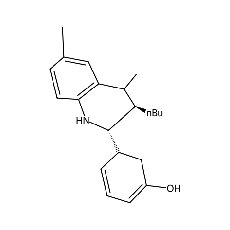 CCCC[C@@H]1C(C)c2cc(C)ccc2N[C@H]1C1C=CC=C(O)C1